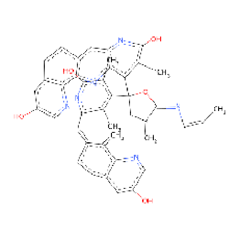 C=C1CC(c2c(C)c(O)nc(/C=c3/ccc4cc(O)cnc4c3=C)c2C)(c2c(C)c(O)nc3cc4ccc5cc(O)cnc5c4nc23)O/C1=N/C=C\C